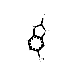 O=Cc1ccc2c(c1)OC(F)O2